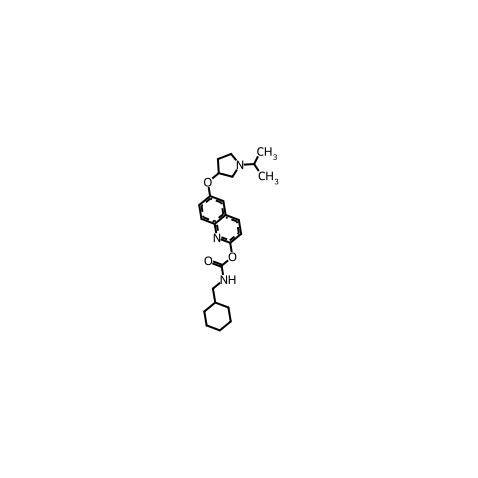 CC(C)N1CCC(Oc2ccc3nc(OC(=O)NCC4CCCCC4)ccc3c2)C1